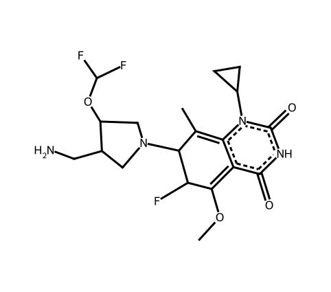 COC1=c2c(=O)[nH]c(=O)n(C3CC3)c2=C(C)C(N2CC(CN)C(OC(F)F)C2)C1F